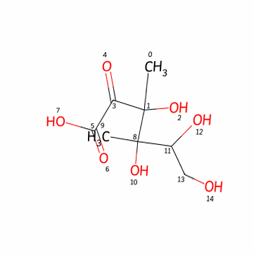 CC(O)(C(=O)C(=O)O)C(C)(O)C(O)CO